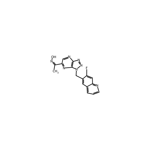 C/C(=N/O)c1cnc2nnn(Cc3cc4cccnc4cc3F)c2n1